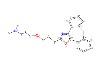 CN(C)CCCOCCCc1nc2c(o1)-c1ccccc1Sc1ccccc1-2